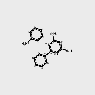 Nc1ccccc1.Nc1nc(N)nc(-c2ccccc2)n1